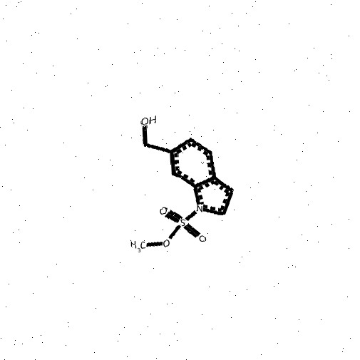 COS(=O)(=O)n1ccc2ccc(CO)cc21